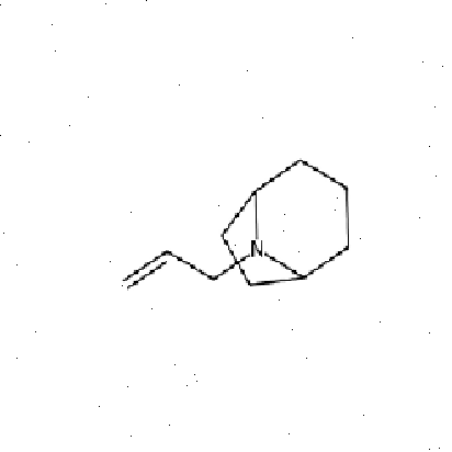 C=CCN1C2CCCC1CC2